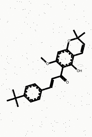 COc1cc2c(c(O)c1C(=O)/C=C/c1ccc(C(C)(C)C)cc1)C=CC(C)(C)O2